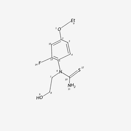 CCOc1ccc(N(CCO)C(N)=S)c(F)c1